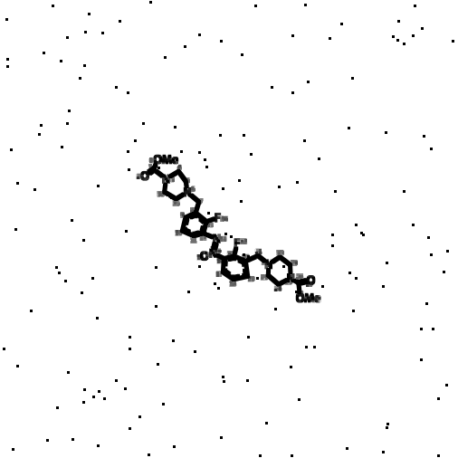 COC(=O)N1CCN(Cc2cccc(N=[N+]([O-])c3cccc(CN4CCN(C(=O)OC)CC4)c3F)c2F)CC1